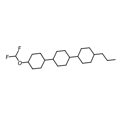 CCCC1CCC(C2CCC(C3CCC(OC(F)F)CC3)CC2)CC1